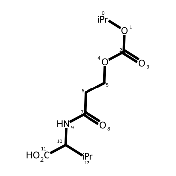 CC(C)OC(=O)OCCC(=O)NC(C(=O)O)C(C)C